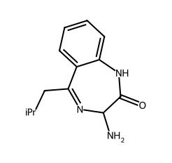 CC(C)CC1=NC(N)C(=O)Nc2ccccc21